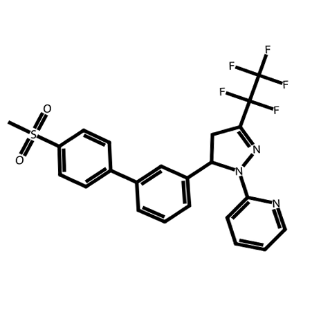 CS(=O)(=O)c1ccc(-c2cccc(C3CC(C(F)(F)C(F)(F)F)=NN3c3ccccn3)c2)cc1